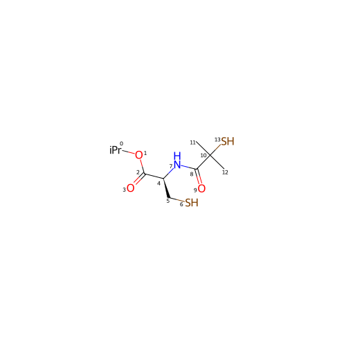 CC(C)OC(=O)[C@H](CS)NC(=O)C(C)(C)S